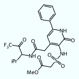 COC(=O)CS(=O)(=O)Nc1c(CC(=O)NC(C(=O)C(F)(F)F)C(C)C)cc(-c2ccccc2)[nH]c1=O